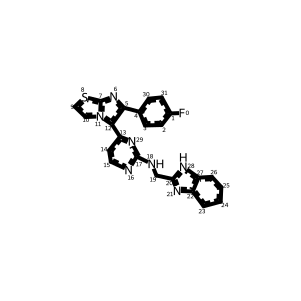 Fc1ccc(-c2nc3sccn3c2-c2ccnc(NCc3nc4ccccc4[nH]3)n2)cc1